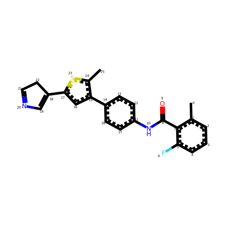 Cc1cccc(F)c1C(=O)Nc1ccc(-c2cc(C3=CN=CC3)sc2C)cc1